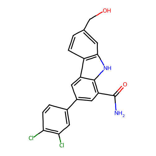 NC(=O)c1cc(-c2ccc(Cl)c(Cl)c2)cc2c1[nH]c1cc(CO)ccc12